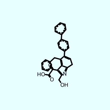 O=C(O)C(=O)C1=C(CO)N=C2CC=C(c3ccc(-c4ccccc4)cc3)C(Cc3ccccc3)=C21